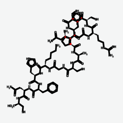 C[C@H](NC(=O)[C@@H]1CCCN1C(=O)[C@H](Cc1c[nH]cn1)NC(=O)[C@H](CS)NC(=O)[C@H](CS)NC(=O)[C@H](CCCNC(=N)N)NC(=O)CNC(=O)[C@@H](N)CC(N)=O)C(=O)N[C@@H](CS)C(=O)NCC(=O)N[C@@H](CCCCN)C(=O)N[C@@H](Cc1c[nH]cn1)C(=O)N[C@@H](Cc1ccccc1)C(=O)N[C@@H](CC(N)=O)C(=O)N[C@@H](CS)C(=O)O